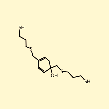 OC1(CSCCCS)C=CC(CSCCCS)=CC1